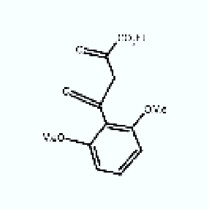 CCOC(=O)C(=O)CC(=O)c1c(OC)cccc1OC